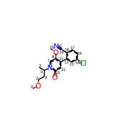 COCCC(C)n1cc(OC)c(-c2cc(Cl)ccc2C#N)cc1=O